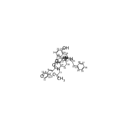 CC(C)CN(C(=O)/C=C/c1ccoc1)[C@@H]1CC[C@H]2[C@H]3Cc4c(O)ccc5c4[C@@]2(CCN3CCc2ccccc2)[C@H]1O5